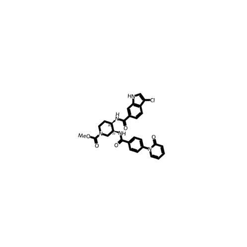 COC(=O)N1CC[C@@H](NC(=O)c2ccc3c(Cl)c[nH]c3c2)[C@@H](NC(=O)c2ccc(-n3ccccc3=O)cc2)C1